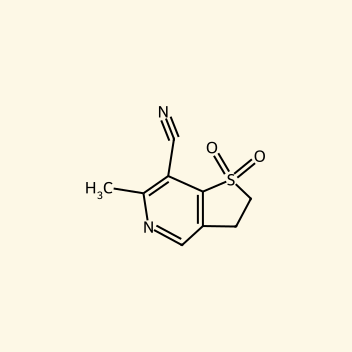 Cc1ncc2c(c1C#N)S(=O)(=O)CC2